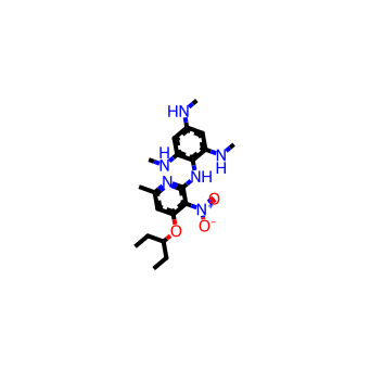 CCC(CC)Oc1cc(C)nc(Nc2c(NC)cc(NC)cc2NC)c1[N+](=O)[O-]